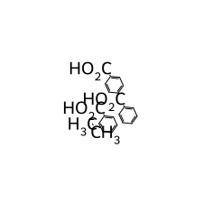 CC.O=C(O)c1ccccc1.O=C(O)c1ccccc1.O=C(O)c1ccccc1